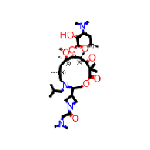 CO[C@]1(C)C[C@@H](C)CN(CC(C)C)C(C2CN(C(=O)CN(C)C)C2)COC(=O)C(C)(C)C(=O)[C@H](C)[C@H]1O[C@@H]1O[C@H](C)C[C@H](N(C)C)[C@H]1O